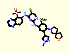 COc1cc(N2CCC3(CCOC3)C2)c(-c2cnn(C)c2)cc1Nc1ncc(Br)c(Nc2ccc3nccnc3c2P(C)(C)=O)n1